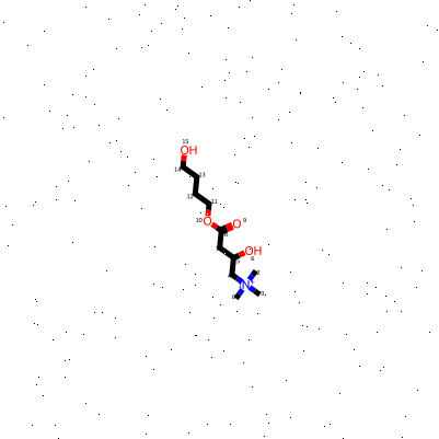 C[N+](C)(C)CC(O)CC(=O)OCCCCO